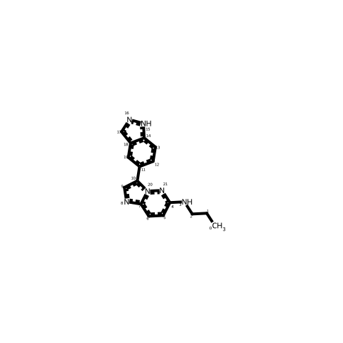 CCCNc1ccc2ncc(-c3ccc4[nH]ncc4c3)n2n1